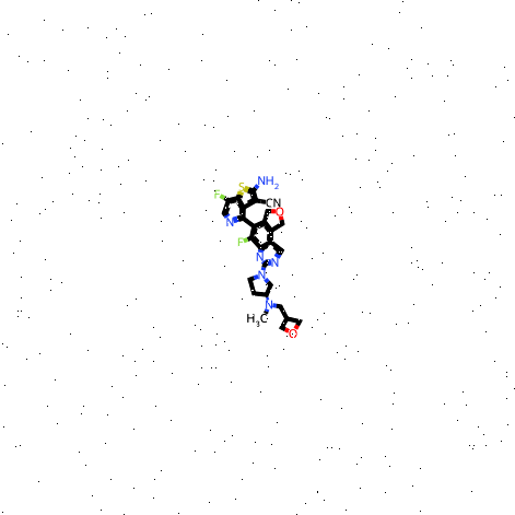 CN(CC1COC1)[C@H]1CCN(c2ncc3c4c(c(-c5ncc(F)c6sc(N)c(C#N)c56)c(F)c3n2)COC4)C1